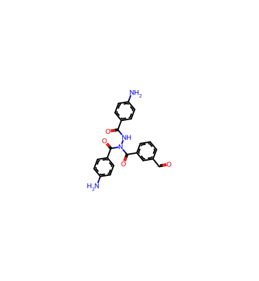 Nc1ccc(C(=O)NN(C(=O)c2ccc(N)cc2)C(=O)c2cccc([C]=O)c2)cc1